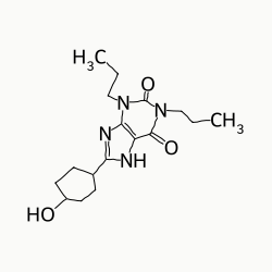 CCCn1c(=O)c2[nH]c(C3CCC(O)CC3)nc2n(CCC)c1=O